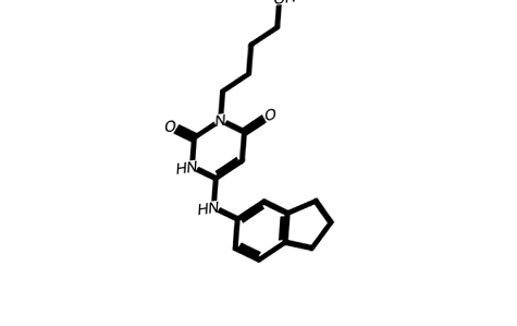 O=c1cc(Nc2ccc3c(c2)CCC3)[nH]c(=O)n1CCCCO